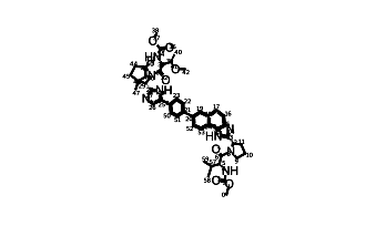 COC(=O)N[C@H](C(=O)N1CCC[C@H]1c1nc2ccc3cc(-c4ccc(-c5cnc([C@H]6N(C(=O)[C@@H](NC(=O)OC)[C@@H](C)OC)[C@@H]7CCC6(C)C7)[nH]5)cc4)ccc3c2[nH]1)C(C)C